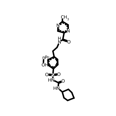 CC[CH]O.Cc1cnc(C(=O)NCCc2ccc(S(=O)(=O)NC(=O)NC3CCCCC3)cc2)cn1